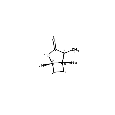 CN1C(=O)O[C@H]2CC[C@H]21